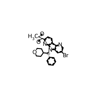 CS(=O)(=O)c1ccc2c3ncc(Br)cc3n([C@H](c3ccccc3)C3CCOCC3)c2n1